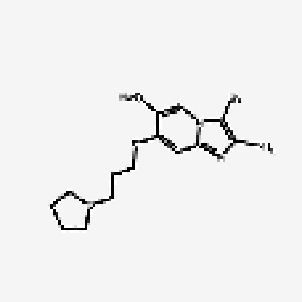 COc1cn2c(C(C)C)c(N)nc2cc1OCCCN1CCCC1